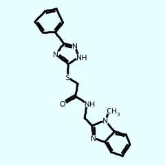 Cn1c(CNC(=O)CSc2nc(-c3ccccc3)n[nH]2)nc2ccccc21